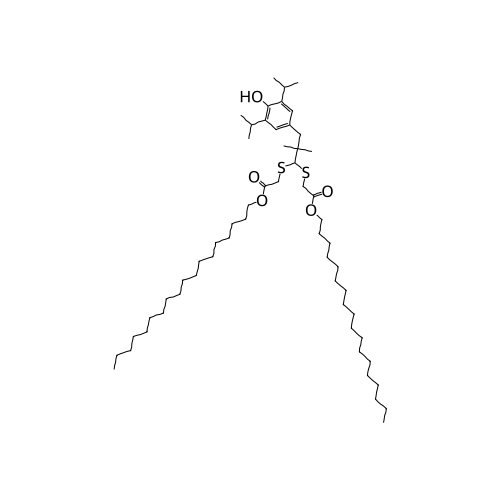 CCCCCCCCCCCCCCCCCCOC(=O)CSC(SCC(=O)OCCCCCCCCCCCCCCCCCC)C(C)(C)Cc1cc(C(C)C)c(O)c(C(C)C)c1